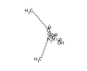 CCCCCCCCCCCCCCCC(=O)OCC(COC(=O)C(N)CCC(=O)O)OC(=O)CCCCCCCCCCCCCCC